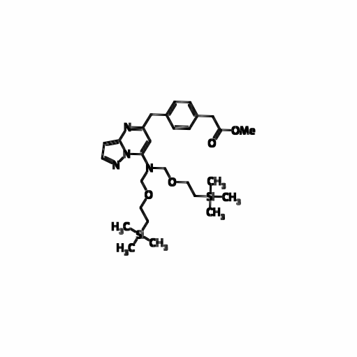 COC(=O)Cc1ccc(Cc2cc(N(COCC[Si](C)(C)C)COCC[Si](C)(C)C)n3nccc3n2)cc1